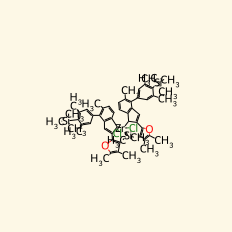 Cc1cc(C2=Cc3c(ccc(C)c3-c3cc(C)c([Si](C)(C)C)c(C)c3)[CH]2[Zr]([Cl])([Cl])([CH]2C(c3cc(C)c(C)o3)=Cc3c2ccc(C)c3-c2cc(C)c([Si](C)(C)C)c(C)c2)=[Si](C)C)oc1C